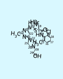 Br.Cc1nc(Nc2ncc(C(=O)Nc3c(C)cccc3Cl)s2)cc(N2CCN(CCO)CC2)n1